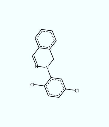 Clc1ccc(Cl)c(N2Cc3ccccc3C=N2)c1